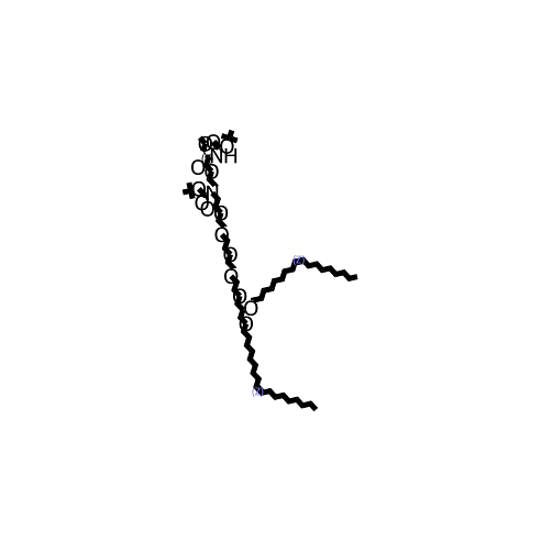 CCCCCCCC/C=C\CCCCCCCCOCC(COCCOCCOCCOCCOC(=O)CN(CCOC(=O)[C@H](COC)NC(=O)OC(C)(C)C)C(=O)OC(C)(C)C)OCCCCCCCC/C=C\CCCCCCCC